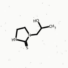 CC(O)CN1CCNC1=S